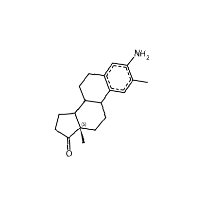 Cc1cc2c(cc1N)CCC1C2CC[C@]2(C)C(=O)CCC12